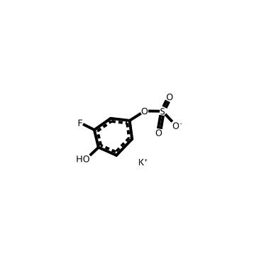 O=S(=O)([O-])Oc1ccc(O)c(F)c1.[K+]